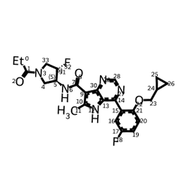 CCC(=O)N1C[C@H](NC(=O)c2c(C)[nH]c3c(-c4cc(F)ccc4OCC4CC4)ncnc23)[C@@H](F)C1